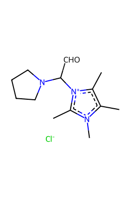 Cc1c(C)[n+](C(C=O)N2CCCC2)c(C)n1C.[Cl-]